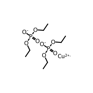 CCOP(=O)([O-])OCC.CCOP(=O)([O-])OCC.[Cu+2]